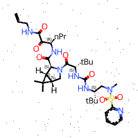 C=CCNC(=O)C(=O)[C@@H](CCC)NC(=O)[C@@H]1[C@@H]2[C@H](CN1C(=O)[C@@H](NC(=O)N[C@H](CN(C)S(=O)(=O)c1ccccn1)C(C)(C)C)C(C)(C)C)C2(C)C